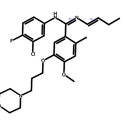 CC/C=C/N=C(/Nc1ccc(F)c(Cl)c1)c1cc(OCCCN2CCOCC2)c(OC)cc1C